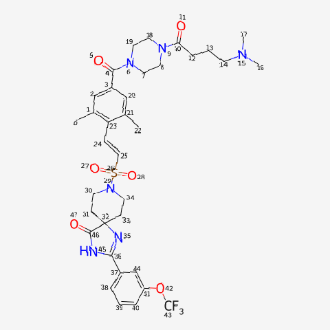 Cc1cc(C(=O)N2CCN(C(=O)CCCN(C)C)CC2)cc(C)c1C=CS(=O)(=O)N1CCC2(CC1)N=C(c1cccc(OC(F)(F)F)c1)NC2=O